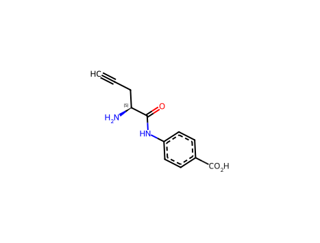 C#CC[C@H](N)C(=O)Nc1ccc(C(=O)O)cc1